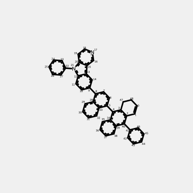 C1=Cc2c(c(-c3ccc(-c4ccc5c(c4)c4cnccc4n5-c4ccccc4)c4ccccc34)c3ccccc3c2-c2ccccc2)CC1